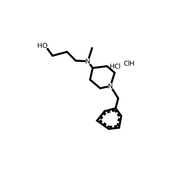 CN(CCCO)C1CCN(Cc2ccccc2)CC1.Cl.Cl